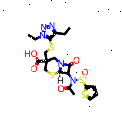 CCc1nnn(CC)c1SCC1(C(=O)O)CS[C@@H]2C(N(C(C)=O)[S+]([O-])c3cccs3)C(=O)N2C1